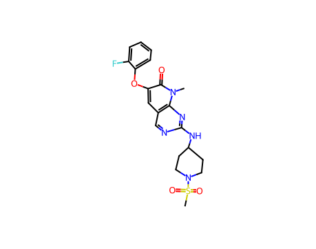 Cn1c(=O)c(Oc2ccccc2F)cc2cnc(NC3CCN(S(C)(=O)=O)CC3)nc21